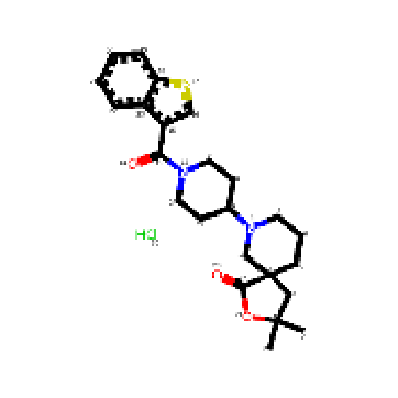 CC1(C)CC2(CCCN(C3CCN(C(=O)c4csc5ccccc45)CC3)C2)C(=O)O1.Cl